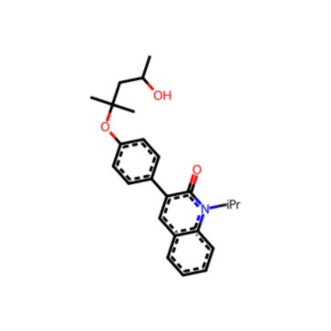 CC(O)CC(C)(C)Oc1ccc(-c2cc3ccccc3n(C(C)C)c2=O)cc1